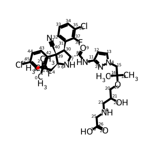 CC(C)(C)C[C@@H]1N[C@@H](C(=O)Nc2ccn(CC(C)(C)OCC(O)CNCC(=O)O)n2)[C@H](c2cccc(Cl)c2F)[C@@]1(C#N)c1ccc(Cl)cc1F